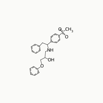 CS(=O)(=O)c1ccc(C(Cc2ccccc2)NCC(O)COc2ccccc2)cc1